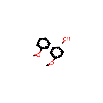 CO.COc1ccccc1.COc1ccccc1